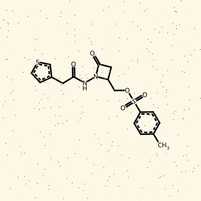 Cc1ccc(S(=O)(=O)OCC2CC(=O)N2NC(=O)Cc2ccsc2)cc1